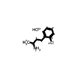 CC(N)CCc1ccccc1Cl.Cl